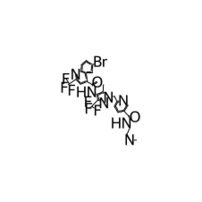 Cc1c(NC(=O)c2cc(C(F)(F)F)nc3ccc(Br)cc23)c(C(F)(F)F)nn1Cc1ccc(C(=O)NCCN(C)C)cn1